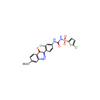 COc1ccc2c(=O)c(-c3ccc(NC(=O)NS(=O)(=O)c4ccc(Cl)s4)cc3Cl)n[nH]c2c1